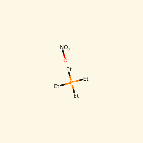 CC[P+](CC)(CC)CC.O=[N+]([O-])[O-]